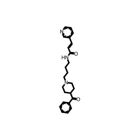 O=C(C=Cc1cccnc1)NCCCCN1CCC(C(=O)c2ccccc2)CC1